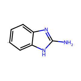 Nc1nc2cc[c]cc2[nH]1